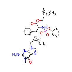 [CH2]C1(CO[P@@](=O)(N[C@@H](Cc2ccccc2)C(=O)OCC(CC)CC)Oc2ccccc2)C/C1=C/n1cnc2c(=O)[nH]c(N)nc21